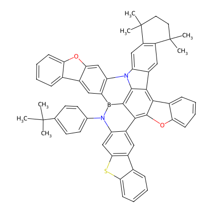 CC(C)(C)c1ccc(N2B3c4cc5c(cc4-n4c6cc7c(cc6c6c8c(oc9ccccc98)c(c3c64)-c3cc4c(cc32)sc2ccccc24)C(C)(C)CCC7(C)C)oc2ccccc25)cc1